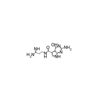 N=C(N)CCNC(=O)c1c[nH]c2nc(N)nc(O)c12